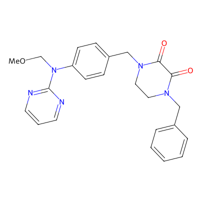 COCN(c1ccc(CN2CCN(Cc3ccccc3)C(=O)C2=O)cc1)c1ncccn1